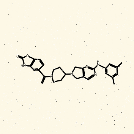 C=C(c1ccc2oc(=O)[nH]c2c1)N1CCC(N2Cc3cnc(Nc4cc(C)cc(C)c4)nc3C2)CC1